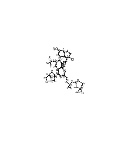 C#Cc1c(Cl)ccc2cc(O)cc(-c3c(SC(F)(F)F)cc4c(N5CC6CCC(C5)N6)nc(OCC5(CN6CCOC7(CC7)C6)CC5)nc4c3F)c12